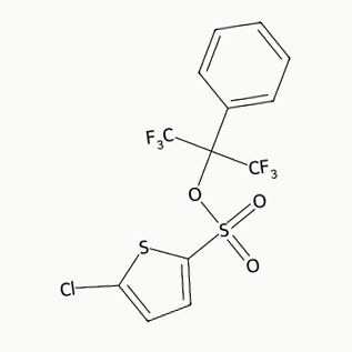 O=S(=O)(OC(c1ccccc1)(C(F)(F)F)C(F)(F)F)c1ccc(Cl)s1